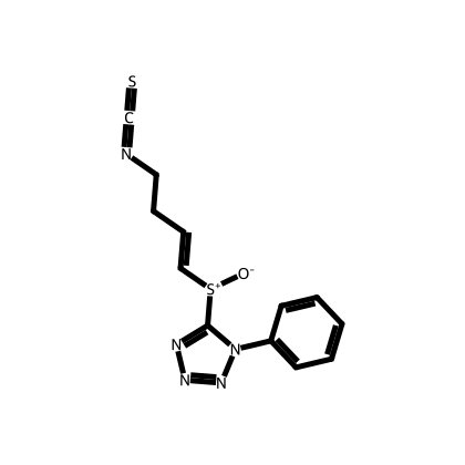 [O-][S+](C=CCCN=C=S)c1nnnn1-c1ccccc1